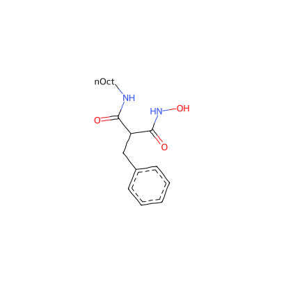 CCCCCCCCNC(=O)C(Cc1ccccc1)C(=O)NO